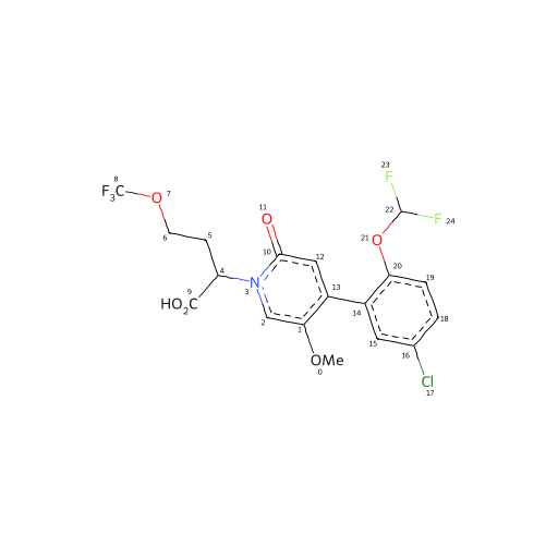 COc1cn(C(CCOC(F)(F)F)C(=O)O)c(=O)cc1-c1cc(Cl)ccc1OC(F)F